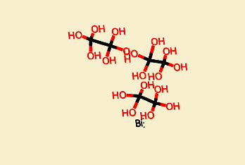 OC(O)(O)C(O)(O)O.OC(O)(O)C(O)(O)O.OC(O)(O)C(O)(O)O.[Bi]